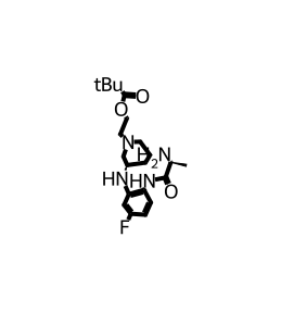 C[C@H](N)C(=O)Nc1ccc(F)cc1N[C@H]1CCCN(CCOC(=O)C(C)(C)C)C1